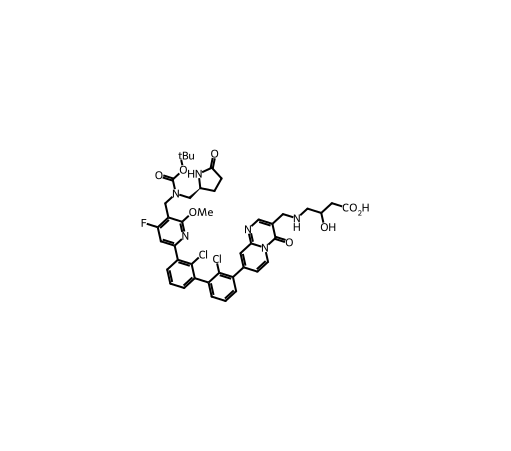 COc1nc(-c2cccc(-c3cccc(-c4ccn5c(=O)c(CNCC(O)CC(=O)O)cnc5c4)c3Cl)c2Cl)cc(F)c1CN(C[C@@H]1CCC(=O)N1)C(=O)OC(C)(C)C